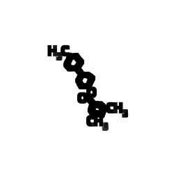 Cc1cc(C)cc(C(=O)OC2CCC(C3CCC(C)CC3)CC2)c1